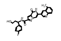 Cc1cccc2ncc(-c3cn4nc(C(=O)NC(CCO)c5ccc(F)cc5)cc4c(=O)[nH]3)cc12